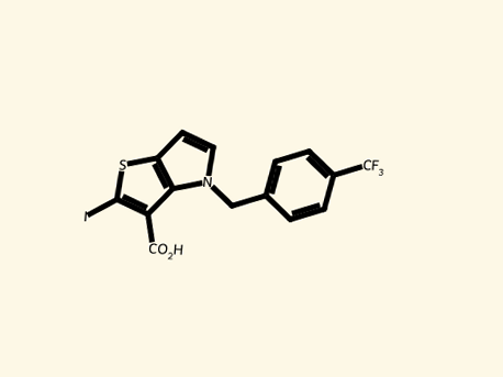 O=C(O)c1c(I)sc2ccn(Cc3ccc(C(F)(F)F)cc3)c12